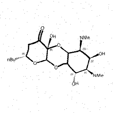 CCCC[C@@H]1CC(=O)[C@]2(O)OC3C(OC2O1)[C@@H](O)[C@H](NC)[C@H](O)[C@@H]3NC